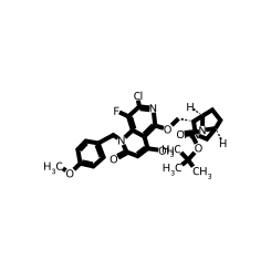 COc1ccc(Cn2c(=O)cc(O)c3c(OC[C@H]4NC[C@@H]5CC[C@H]4N5C(=O)OC(C)(C)C)nc(Cl)c(F)c32)cc1